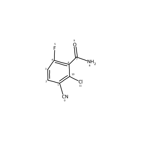 N#Cc1ccc(F)c(C(N)=O)c1Cl